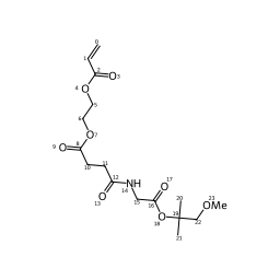 C=CC(=O)OCCOC(=O)CCC(=O)NCC(=O)OC(C)(C)COC